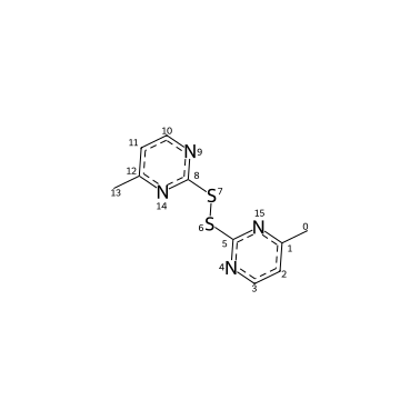 Cc1ccnc(SSc2nccc(C)n2)n1